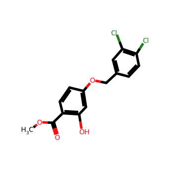 COC(=O)c1ccc(OCc2ccc(Cl)c(Cl)c2)cc1O